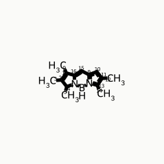 CC1=C(C)C(C)N2Bn3c(cc(C)c3C)C=C12